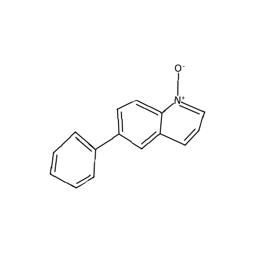 [O-][n+]1cccc2cc(-c3ccccc3)ccc21